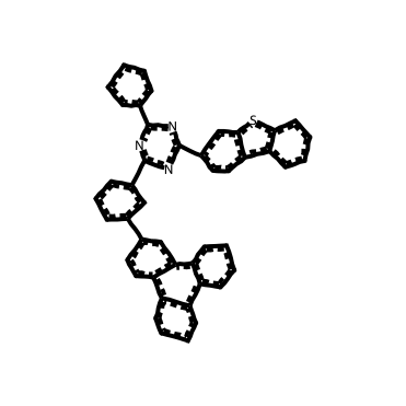 c1ccc(-c2nc(-c3cccc(-c4ccc5c6ccccc6c6ccccc6c5c4)c3)nc(-c3ccc4c(c3)sc3ccccc34)n2)cc1